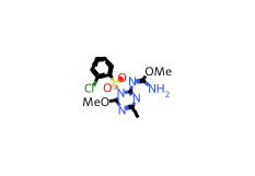 COC(N)=NC1=NC(C)=NC(OC)N1S(=O)(=O)c1ccccc1Cl